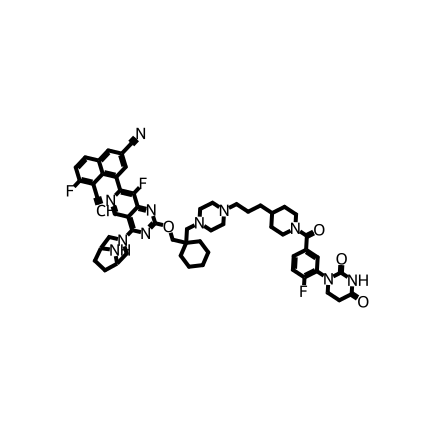 C#Cc1c(F)ccc2cc(C#N)cc(-c3ncc4c(N5CC6CCC(C5)N6)nc(OCC5(CN6CCN(CCCC7CCN(C(=O)c8ccc(F)c(N9CCC(=O)NC9=O)c8)CC7)CC6)CCCCC5)nc4c3F)c12